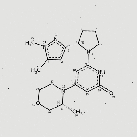 Cc1cc([C@@H]2CCCN2c2cc(N3CCOC[C@H]3C)cc(=O)[nH]2)nn1C